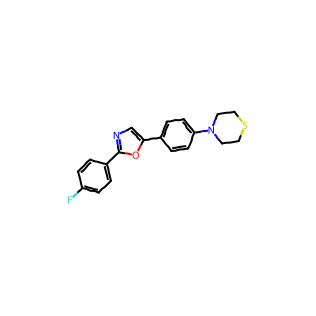 Fc1ccc(-c2ncc(-c3ccc(N4CCSCC4)cc3)o2)cc1